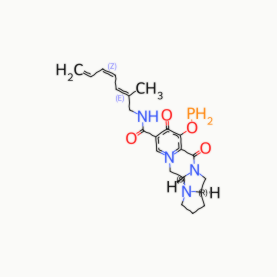 C=C/C=C\C=C(/C)CNC(=O)c1cn2c(c(OP)c1=O)C(=O)N1C[C@H]3CCCN3[C@@H]1C2